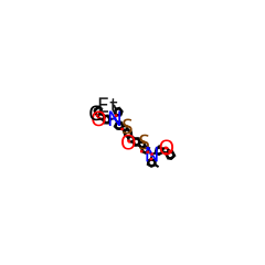 CCc1cccc(N(c2ccc3c(c2)sc2cc4c(cc23)oc2cc3c(cc24)sc2cc(N(c4cccc(C)c4)c4ccc5oc6ccccc6c5c4)ccc23)c2ccc3oc4ccccc4c3c2)c1